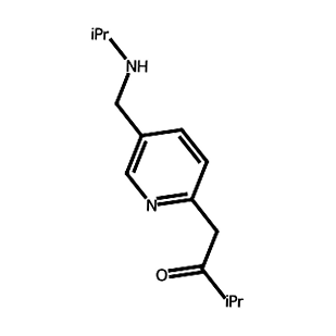 CC(C)NCc1ccc(CC(=O)C(C)C)nc1